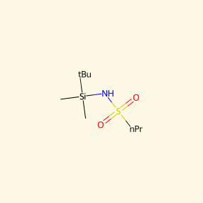 CCCS(=O)(=O)N[Si](C)(C)C(C)(C)C